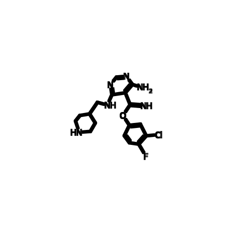 N=C(Oc1ccc(F)c(Cl)c1)c1c(N)ncnc1NCC1CCNCC1